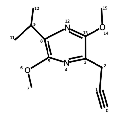 C#CCc1nc(OC)c(C(C)C)nc1OC